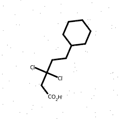 O=C(O)CC(Cl)(Cl)CCC1CCCCC1